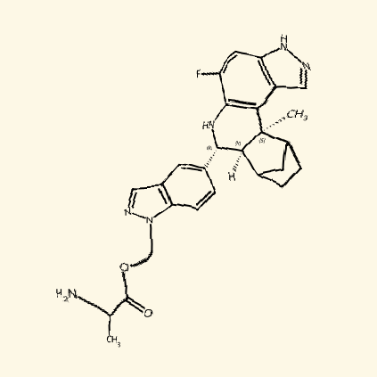 CC(N)C(=O)OCn1ncc2cc([C@@H]3Nc4c(F)cc5[nH]ncc5c4[C@@]4(C)C5CCC(C5)[C@@H]34)ccc21